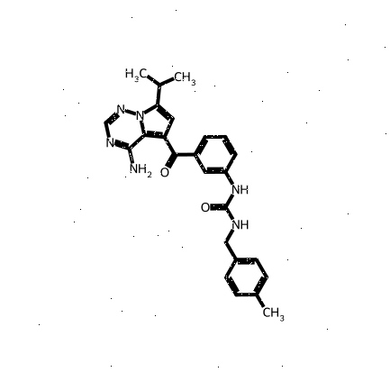 Cc1ccc(CNC(=O)Nc2cccc(C(=O)c3cc(C(C)C)n4ncnc(N)c34)c2)cc1